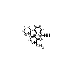 Cn1ncc(N2CCCCC2)c(-c2ccccc2C=N)c1=O